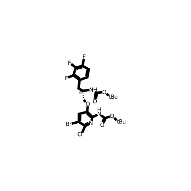 CC(C)(C)OC(=O)Nc1nc(Cl)c(Br)cc1OC[C@H](Cc1ccc(F)c(F)c1F)NC(=O)OC(C)(C)C